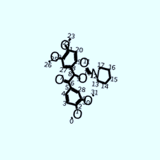 COc1ccc(C(=O)C(OC(=O)N2CCCCC2)c2ccc(OC)c(OC)c2)cc1OC